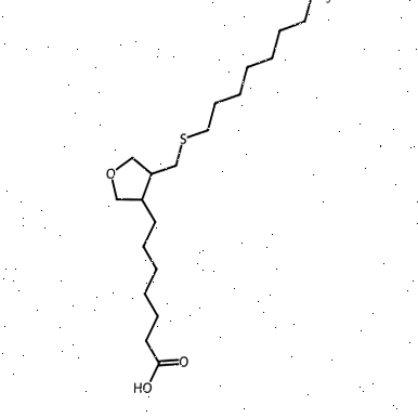 CCCCCCCCSCC1COCC1CCCCCCC(=O)O